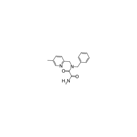 Cc1ccc(CN(Cc2ccccc2)C(=O)C(N)=O)nc1